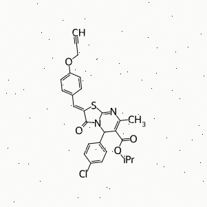 C#CCOc1ccc(/C=c2\sc3n(c2=O)C(c2ccc(Cl)cc2)C(C(=O)OC(C)C)=C(C)N=3)cc1